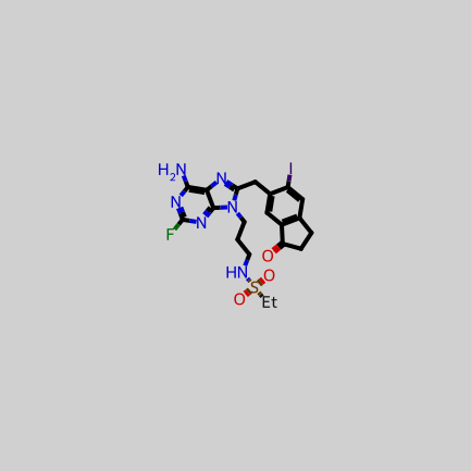 CCS(=O)(=O)NCCCn1c(Cc2cc3c(cc2I)CCC3=O)nc2c(N)nc(F)nc21